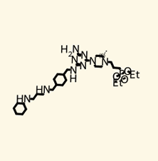 CCOP(=O)(CCCN1CCN(c2nc(N)nc(NCC3CCC(CNCCCNC4CCCCC4)CC3)n2)C[C@@H]1C)OCC